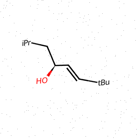 CC(C)C[C@H](O)/C=C/C(C)(C)C